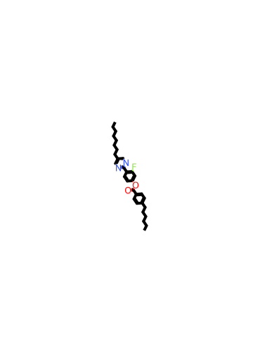 CCCCCCCCc1cnc(-c2ccc(OC(=O)c3ccc(CCCCCC)cc3)cc2F)nc1